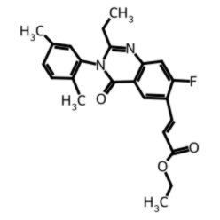 CCOC(=O)C=Cc1cc2c(=O)n(-c3cc(C)ccc3C)c(CC)nc2cc1F